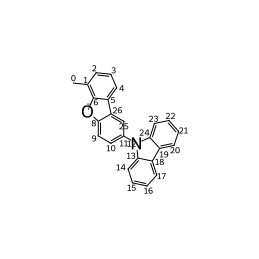 Cc1cccc2c1oc1ccc(-n3c4ccccc4c4ccccc43)cc12